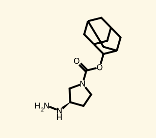 NN[C@@H]1CCN(C(=O)OC2C3CC4CC(C3)CC2C4)C1